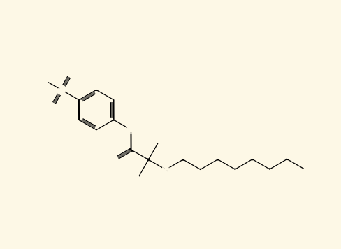 CCCCCCCCNC(C)(C)C(=O)Oc1ccc(S(=O)(=O)O)cc1